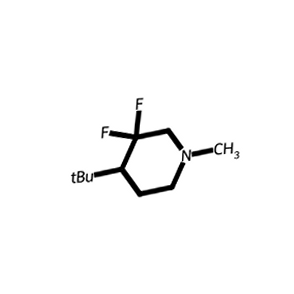 CN1CCC(C(C)(C)C)C(F)(F)C1